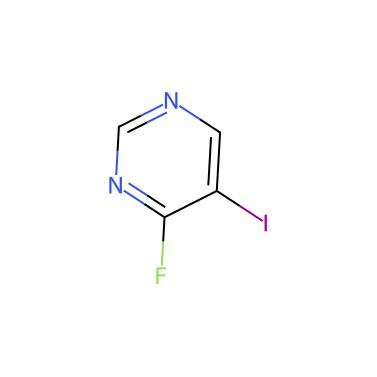 Fc1ncncc1I